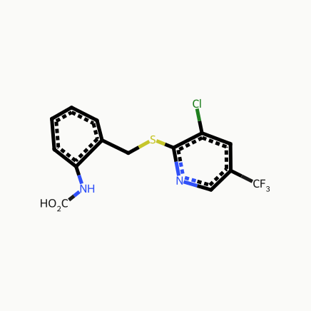 O=C(O)Nc1ccccc1CSc1ncc(C(F)(F)F)cc1Cl